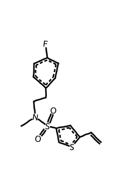 C=Cc1cc(S(=O)(=O)N(C)CCc2ccc(F)cc2)cs1